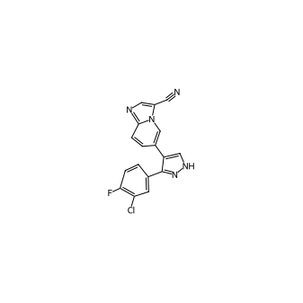 N#Cc1cnc2ccc(-c3c[nH]nc3-c3ccc(F)c(Cl)c3)cn12